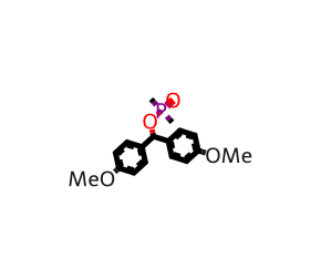 COc1ccc(C(OP(C)(C)=O)c2ccc(OC)cc2)cc1